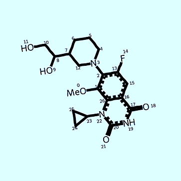 COc1c(N2CCCC(C(O)CO)C2)c(F)cc2c(=O)[nH]c(=O)n(C3CC3)c12